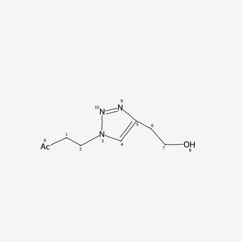 CC(=O)CCn1cc(CCO)nn1